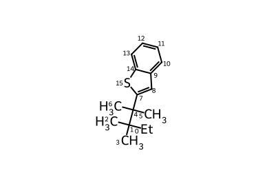 CCC(C)(C)C(C)(C)c1cc2ccccc2s1